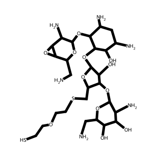 NCC1OC(OC2C(CSCCOCCS)OC(OC3C(O)C(N)CC(N)C3OC3OC(CN)C4OC4C3N)C2O)C(N)C(O)C1O